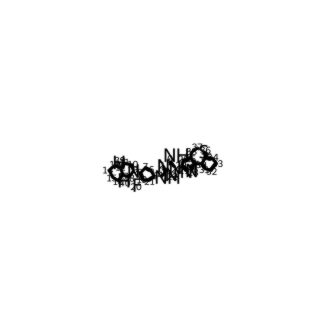 Nc1nc(Nc2ccc(N3CC[C@H]4CCCC[C@@H]4C3)c(F)c2)nn1-c1cc2c(nn1)-c1ccccc1SCC2